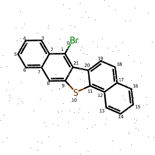 Brc1c2ccccc2cc2sc3c4ccccc4ccc3c12